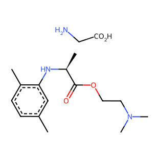 Cc1ccc(C)c(N[C@@H](C)C(=O)OCCN(C)C)c1.NCC(=O)O